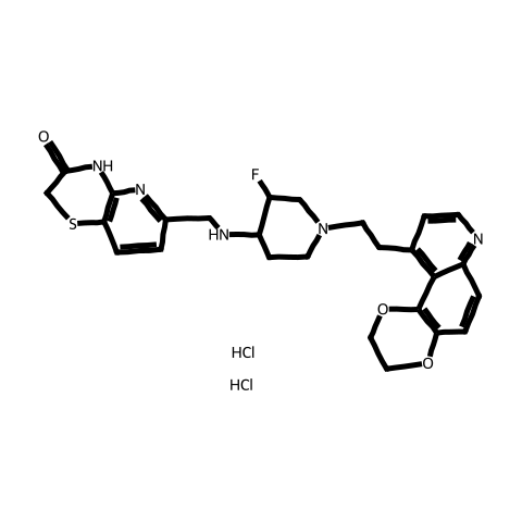 Cl.Cl.O=C1CSc2ccc(CNC3CCN(CCc4ccnc5ccc6c(c45)OCCO6)CC3F)nc2N1